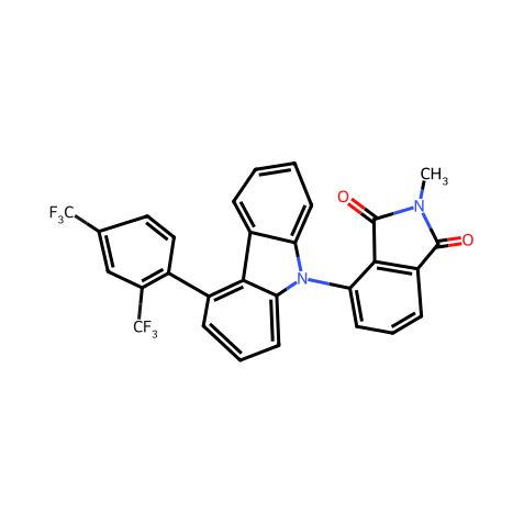 CN1C(=O)c2cccc(-n3c4ccccc4c4c(-c5ccc(C(F)(F)F)cc5C(F)(F)F)cccc43)c2C1=O